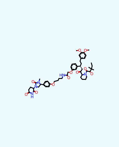 CCC(C)(C)C(=O)C(=O)N1CCCCC1C(=O)C[C@H](CCc1ccc(OC)c(OC)c1)c1cccc(OCC(=O)NCCCCOc2ccc(C3CN(C4CCC(=O)NC4=O)C(=O)N3C)cc2)c1